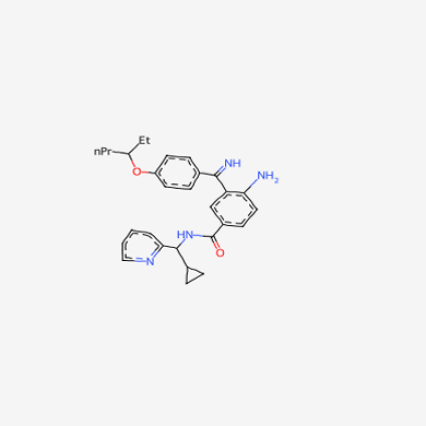 CCCC(CC)Oc1ccc(C(=N)c2cc(C(=O)NC(c3ccccn3)C3CC3)ccc2N)cc1